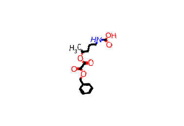 CC(CCCNC(=O)O)OC(=O)C(=O)OCc1ccccc1